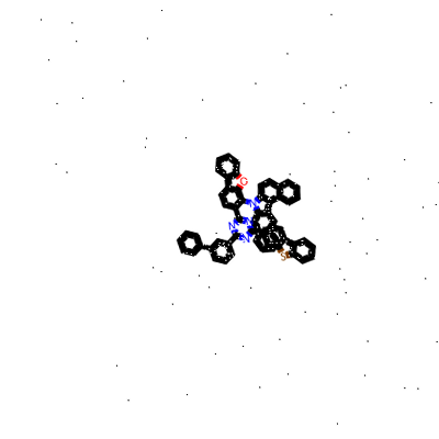 c1ccc(-c2cccc(-c3nc(-c4ccc5c(c4)sc4ccccc45)nc(-c4ccc5c(oc6ccccc65)c4-n4c5cc6ccccc6cc5c5c6ccccc6ccc54)n3)c2)cc1